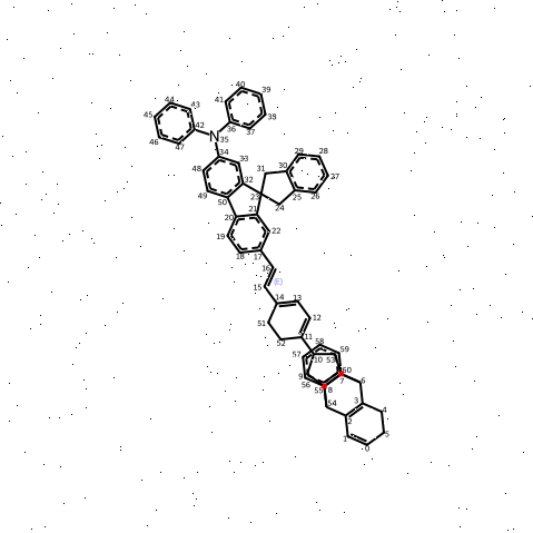 C1=CC2=C(CC1)C1C3=C(CC(C4=CC=C(/C=C/c5ccc6c(c5)C5(Cc7ccccc7C5)c5cc(N(c7ccccc7)c7ccccc7)ccc5-6)CC4)C3)C2c2ccccc21